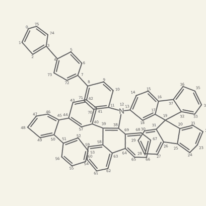 c1ccc(-c2ccc(-c3ccc(N(c4ccc5c(c4)C4(c6ccccc6-c6ccccc64)c4ccccc4-5)c4c(-c5cccc(-c6ccccc6-c6ccccc6)c5)c5ccccc5c5ccccc45)cc3)cc2)cc1